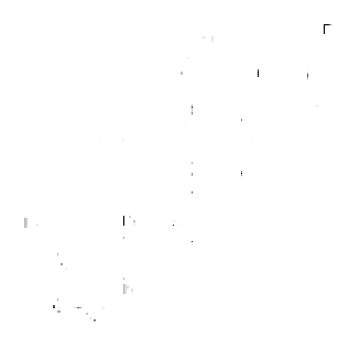 CCSc1c(OC(F)F)ccc(C(=O)Nc2nnnn2C)c1C